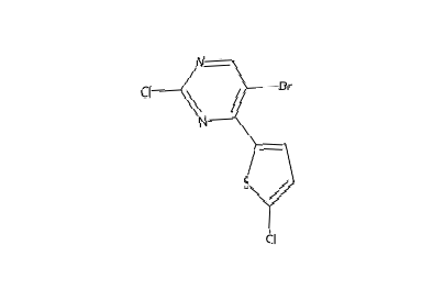 Clc1ncc(Br)c(-c2ccc(Cl)s2)n1